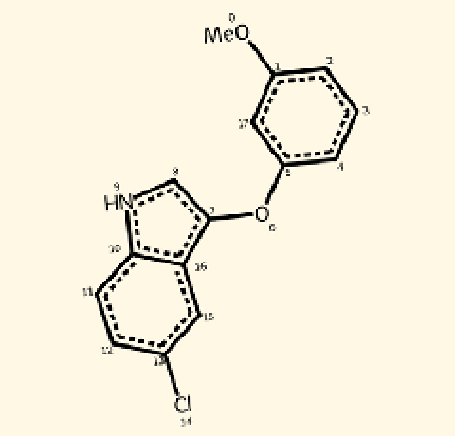 COc1cccc(Oc2c[nH]c3ccc(Cl)cc23)c1